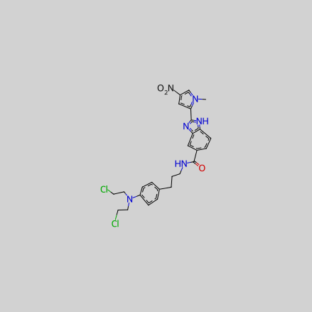 Cn1cc([N+](=O)[O-])cc1-c1nc2cc(C(=O)NCCCc3ccc(N(CCCl)CCCl)cc3)ccc2[nH]1